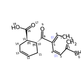 BC(=C)/C=C\C(=C/C)C(=O)[C@@H]1CC=CC[C@H]1C(=O)O